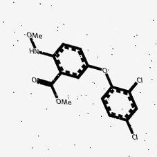 CONc1ccc(Oc2ccc(Cl)cc2Cl)cc1C(=O)OC